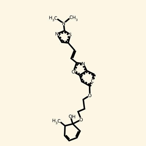 CC1C=CC=CC1(O)OCCCOc1ccc2nc(C=Cc3cnc(N(C)C)s3)oc2c1